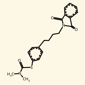 CN(C)C(=O)Sc1ccc(CCCCN2C(=O)c3ccccc3C2=O)cc1